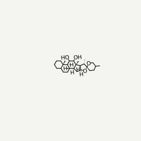 CC1CC[C@@]2(OC1)O[C@H]1C[C@H]3[C@@H]4CCC5CCCC[C@]5(C)[C@H]4C(O)C(O)[C@]3(C)[C@H]1[C@@H]2C